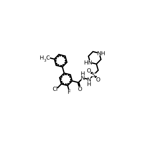 Cc1cccc(-c2cc(Cl)c(F)c(C(=O)NNS(=O)(=O)CC3CNCCN3)c2)c1